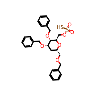 O=S(=O)(S)OC[C@H]1O[C@H](COCc2ccccc2)C[C@H](OCc2ccccc2)[C@@H]1OCc1ccccc1